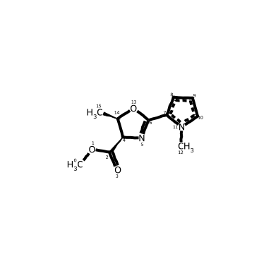 COC(=O)[C@@H]1N=C(c2cccn2C)O[C@@H]1C